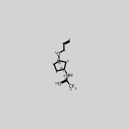 C=CCO[C@@H]1CC[C@H](NC(=O)C(F)(F)F)C1